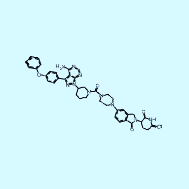 Nc1ncnc2c1c(-c1ccc(Oc3ccccc3)cc1)nn2C1CCCN(C(=O)N2CCN(c3ccc4c(c3)CN(C3CCC(=O)NC3=O)C4=O)CC2)C1